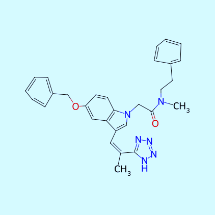 CC(=Cc1cn(CC(=O)N(C)CCc2ccccc2)c2ccc(OCc3ccccc3)cc12)c1nnn[nH]1